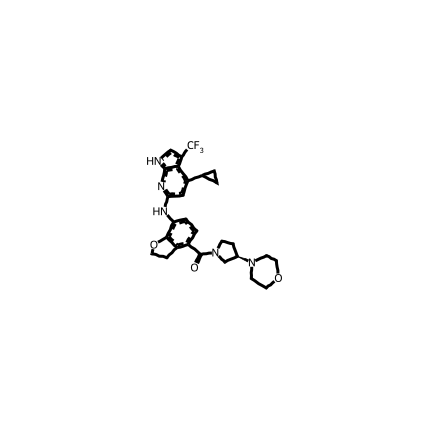 O=C(c1ccc(Nc2cc(C3CC3)c3c(C(F)(F)F)c[nH]c3n2)c2c1CCO2)N1CC[C@@H](N2CCOCC2)C1